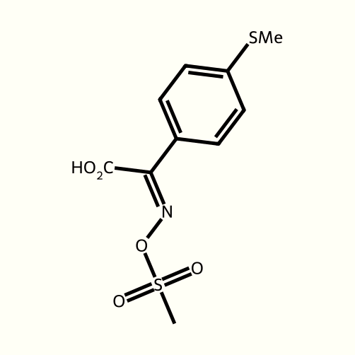 CSc1ccc(/C(=N/OS(C)(=O)=O)C(=O)O)cc1